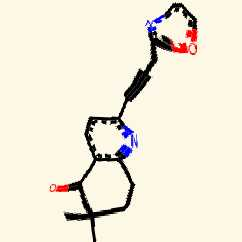 CC1(C)CCc2nc(C#Cc3ncco3)ccc2C1=O